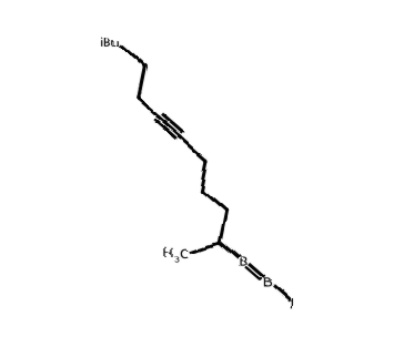 CCC(C)CCC#CCCCC(C)B=BI